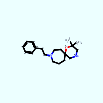 CC1(C)CNCC2(CCCN(CCc3ccccc3)CC2)O1